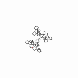 CC(C)(c1cc(CP2(=O)Oc3ccccc3-c3ccccc32)cc(CP2(=O)Oc3ccccc3-c3ccccc32)c1)c1cc(CP2(=O)Oc3ccccc3-c3ccccc32)c(O)c(CP2(=O)Oc3ccccc3-c3ccccc32)c1